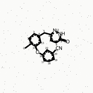 Cc1ccc(Cc2ccc(=O)[nH]n2)cc1Oc1cccc(C#N)c1